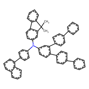 CC1(C)c2ccccc2-c2ccc(N(c3ccc(-c4cccc5ccccc45)cc3)c3ccc(-c4ccc(-c5ccccc5)cc4)c(-c4ccc(-c5ccccc5)cc4)c3)cc21